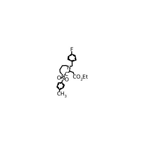 CCOC(=O)CC1CN(S(=O)(=O)c2ccc(C)cc2)CCCCN1Cc1ccc(F)cc1